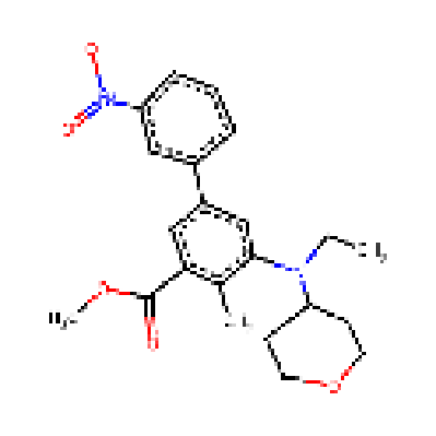 CCN(c1cc(-c2cccc([N+](=O)[O-])c2)cc(C(=O)OC)c1C)C1CCOCC1